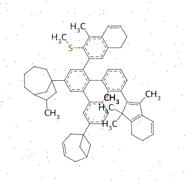 CSc1c(-c2cc(C34CCCCC(C3)C(C)C4)cc(-c3cc(C45CC=CCC(C4)C5)ccc3C)c2-c2cccc(C3=C(C)C4=C(CCC=C4)C3(C)C)c2C)cc2c(c1C)C=CCC2